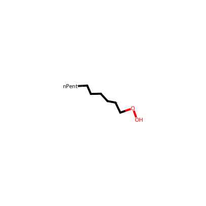 CCC[CH]CCCCC[CH]COO